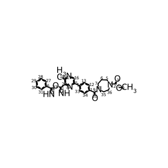 COC(=O)N1CCCN(C(=O)c2ccc(-c3cnc(C)c(C(=N)OC(=N)c4ccccc4)n3)cc2)CC1